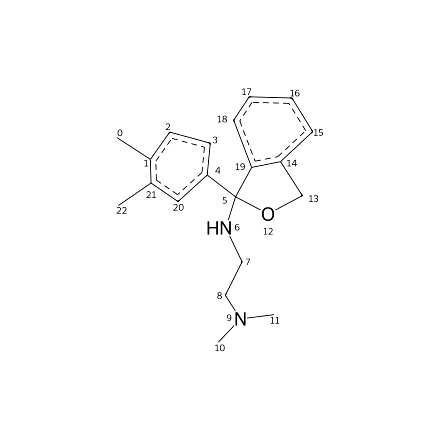 Cc1ccc(C2(NCCN(C)C)OCc3ccccc32)cc1C